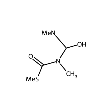 CNC(O)N(C)C(=O)SC